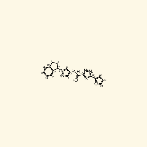 O=C(Nc1cnn(C2CCc3ccccc32)c1)c1nnc(-c2ccco2)s1